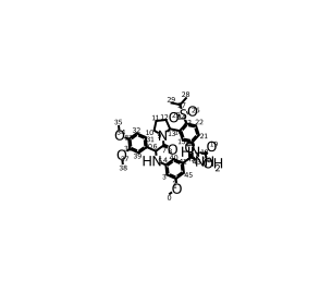 COc1cc(NC(C(=O)N2CCCC2c2cc(NC(=O)O)ccc2S(=O)(=O)C(C)C)c2ccc(OC)c(OC)c2)cc(C(N)=O)c1